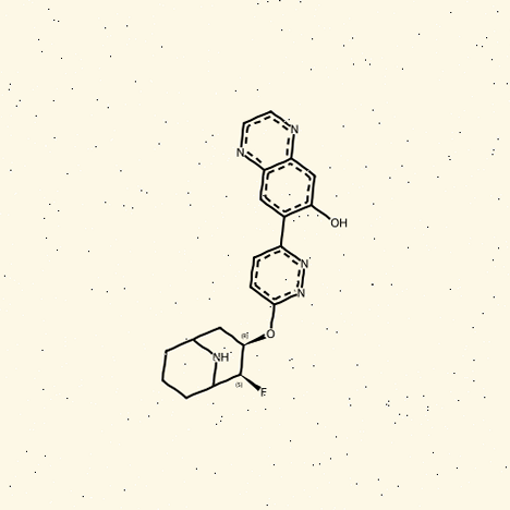 Oc1cc2nccnc2cc1-c1ccc(O[C@@H]2CC3CCCC(N3)[C@@H]2F)nn1